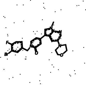 Cn1cc(-c2ccn(Cc3ccc(F)c(Br)c3)c(=O)c2)c2cc(N3CCOCC3)cnc21